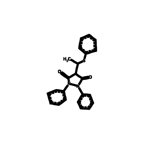 CC(Sc1ccccc1)C1C(=O)N(c2ccccc2)N(c2ccccc2)C1=O